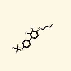 CCCCOc1ccc(-c2ccc(OC(F)(F)F)cc2)c(F)c1F